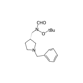 CC(C)(C)ON(C=O)C[C@H]1CCN(Cc2ccccc2)C1